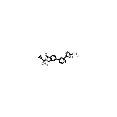 Cc1nnc(-c2cc(-c3ccc4c(c3)CN([C@@H](C)C3CC3)C4=O)ccn2)[nH]1